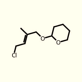 CC(=CCCl)COC1CCCCO1